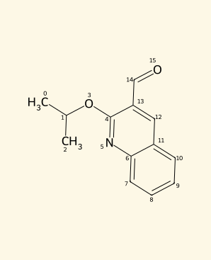 CC(C)Oc1nc2ccccc2cc1C=O